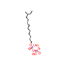 CCC(C)CCCCCCCCCCOP1(=O)OOOP(=O)(O)O1